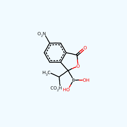 CC(C(=O)O)C1(B(O)O)OC(=O)c2cc([N+](=O)[O-])ccc21